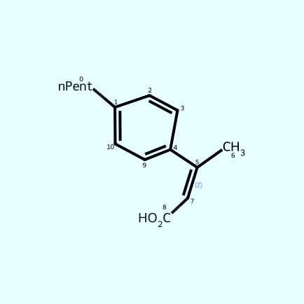 CCCCCc1ccc(/C(C)=C\C(=O)O)cc1